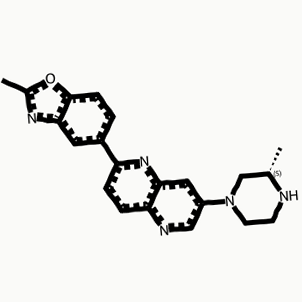 Cc1nc2cc(-c3ccc4ncc(N5CCN[C@@H](C)C5)cc4n3)ccc2o1